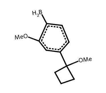 Bc1ccc(C2(OC)CCC2)cc1OC